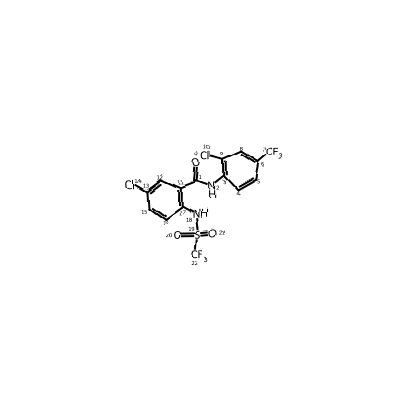 O=C(Nc1ccc(C(F)(F)F)cc1Cl)c1cc(Cl)ccc1NS(=O)(=O)C(F)(F)F